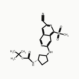 CC(C)(C)OC(=O)N[C@H]1CC[C@H](Nc2cc3c(S(C)(=O)=O)nc(C#N)cc3cn2)C1